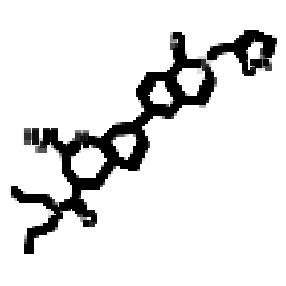 CCCN(CCC)C(=O)C1=Cc2ccc(-c3ccc4c(=O)n(Cc5ccno5)ccc4c3)cc2N=C(N)C1